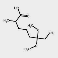 CCC(CCCC(C)C(=O)O)(OC)OC